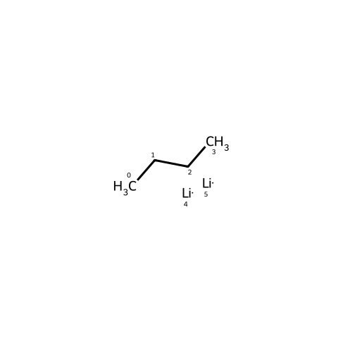 CCCC.[Li].[Li]